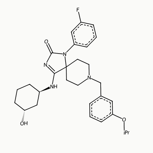 CC(C)Oc1cccc(CN2CCC3(CC2)C(N[C@@H]2CCC[C@@H](O)C2)=NC(=O)N3c2cccc(F)c2)c1